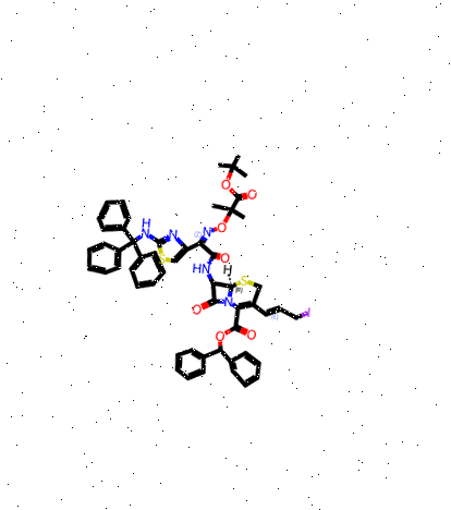 CC(C)(C)OC(=O)C(C)(C)O/N=C(\C(=O)NC1C(=O)N2C(C(=O)OC(c3ccccc3)c3ccccc3)=C(/C=C/CI)CS[C@H]12)c1csc(NC(c2ccccc2)(c2ccccc2)c2ccccc2)n1